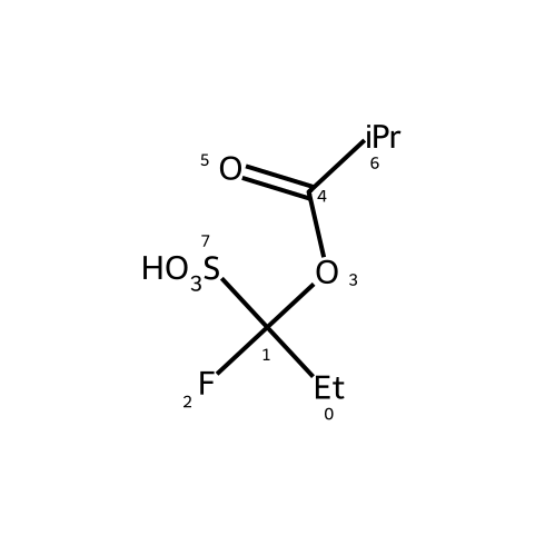 CCC(F)(OC(=O)C(C)C)S(=O)(=O)O